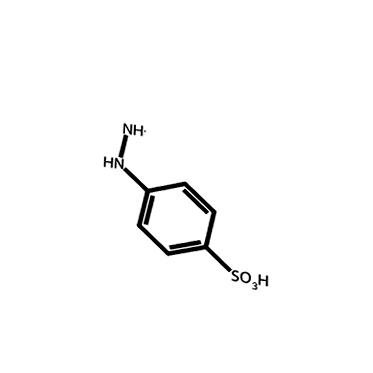 [NH]Nc1ccc(S(=O)(=O)O)cc1